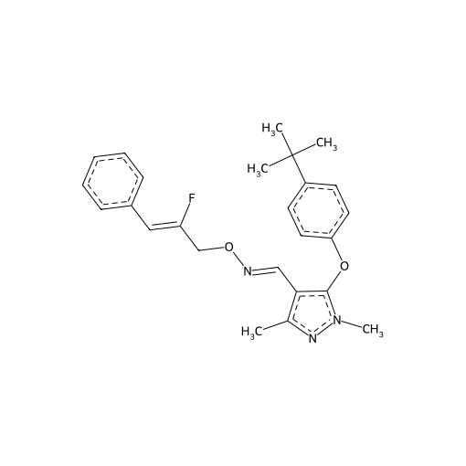 Cc1nn(C)c(Oc2ccc(C(C)(C)C)cc2)c1C=NOCC(F)=Cc1ccccc1